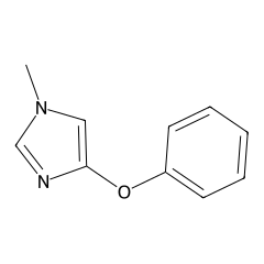 Cn1cnc(Oc2ccccc2)c1